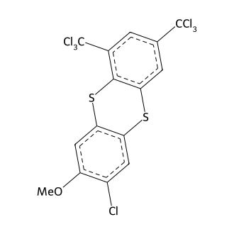 COc1cc2c(cc1Cl)Sc1cc(C(Cl)(Cl)Cl)cc(C(Cl)(Cl)Cl)c1S2